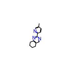 Cc1ccc(-c2ncc3c(n2)CCCC3)nc1